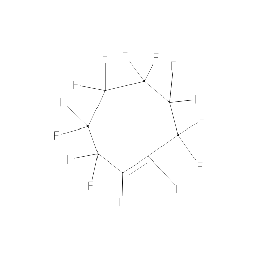 F/C1=C(\F)C(F)(F)C(F)(F)C(F)(F)C(F)(F)C(F)(F)C1(F)F